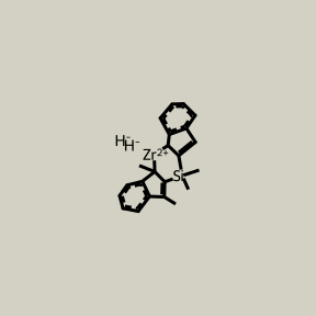 CC1=C2[C](C)([Zr+2][CH]3C(=Cc4ccccc43)[Si]2(C)C)c2ccccc21.[H-].[H-]